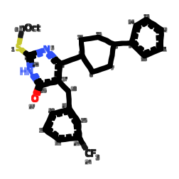 CCCCCCCCSc1nc(C2CCC(c3ccccc3)CC2)c(Cc2cccc(C(F)(F)F)c2)c(=O)[nH]1